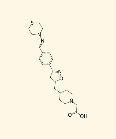 O=C(O)CN1CCC(CC2CC(c3ccc(C=NN4CCSCC4)cc3)=NO2)CC1